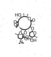 C[C@@H]1[C@@H](O[C@@H]2O[C@H](C)C[C@H](N(C)C)[C@H]2O)[C@@H](C)C[C@@]2(CO2)C(=O)[C@H](C)[C@@H](O)[C@@H](C)[C@@H](C)OC(=O)[C@H](C)[C@H]1O[C@H]1C[C@H](O)[C@@H](O)[C@H](C)O1